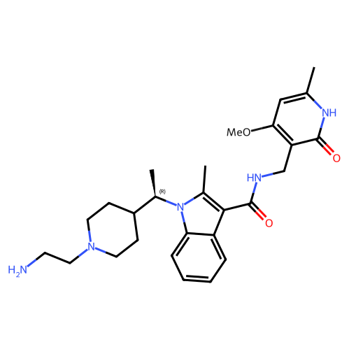 COc1cc(C)[nH]c(=O)c1CNC(=O)c1c(C)n([C@H](C)C2CCN(CCN)CC2)c2ccccc12